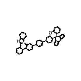 c1ccc2c(c1)Oc1cc(-c3ccc(-c4ccc5c6ccccc6c6nc7ccccc7n6c5c4)cc3)ccc1C21c2ccccc2-c2ccccc21